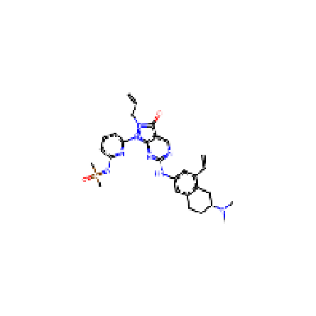 C=CCn1c(=O)c2cnc(Nc3cc(C=C)c4c(c3)CCC(N(C)C)C4)nc2n1-c1cccc(N=S(C)(C)=O)n1